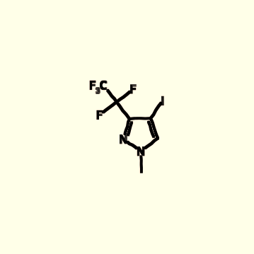 Cn1cc(I)c(C(F)(F)C(F)(F)F)n1